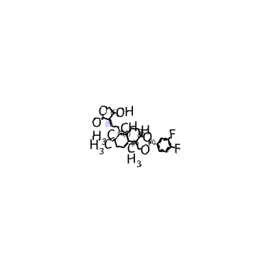 CC1(C)CCC2[C@]3(C)CO[C@@H](c4ccc(F)c(F)c4)O[C@@H]3CC[C@@]2(C)[C@@H]1C/C=C1/C(=O)OC[C@H]1O